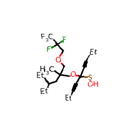 CCC#CC(C#CCC)(OCC(C)(COCC(F)(F)C(F)(F)F)CC(CC)CC)SO